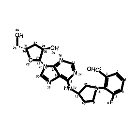 O=Cc1cccc(F)c1N1CCC(Nc2ncnc3c2ncn3[C@@H]2O[C@H](CO)C[C@H]2O)C1